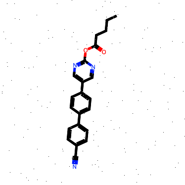 CCCCC(=O)Oc1ncc(-c2ccc(-c3ccc(C#N)cc3)cc2)cn1